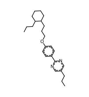 CCCc1cnc(-c2ccc(OCCCC3CCCCC3CCC)cc2)nc1